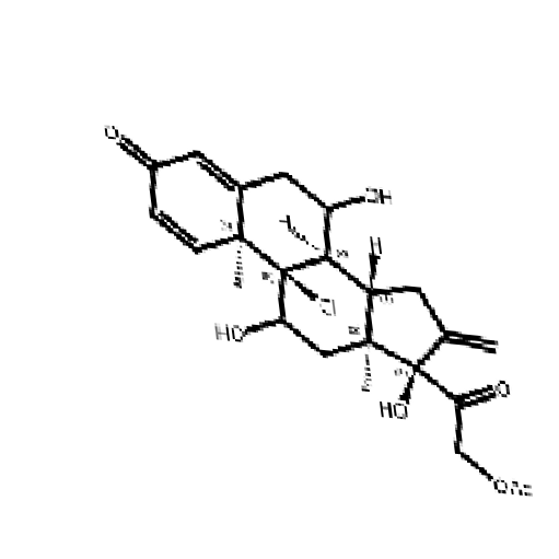 C=C1C[C@H]2[C@@H]3C(O)CC4=CC(=O)C=C[C@]4(C)[C@@]3(Cl)C(O)C[C@]2(C)[C@@]1(O)C(=O)COC(C)=O